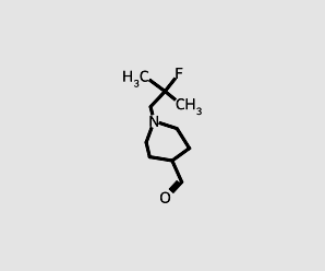 CC(C)(F)CN1CCC(C=O)CC1